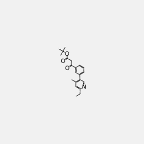 CCc1cc(C)c(-c2cccc(C(=O)CC(=O)OC(C)(C)C)c2)cn1